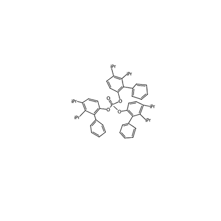 CC(C)c1ccc(OP(=O)(Oc2ccc(C(C)C)c(C(C)C)c2-c2ccccc2)Oc2ccc(C(C)C)c(C(C)C)c2-c2ccccc2)c(-c2ccccc2)c1C(C)C